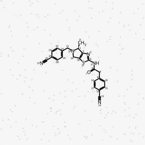 C[C@H]1c2nc(NC(=O)Cc3ccc(C#N)cc3)sc2CN1Cc1ccc(C#N)cc1